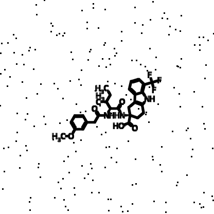 CCC(C)[C@H](NC(=O)Cc1cccc(OC)c1)C(=O)N[C@]1(C(=O)O)CCc2[nH]c3c(C(F)(F)F)cccc3c2C1